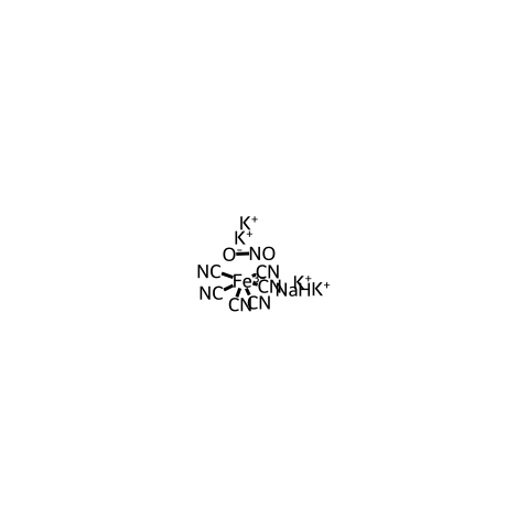 N#[C][Fe-3]([C]#N)([C]#N)([C]#N)([C]#N)[C]#N.O=N[O-].[K+].[K+].[K+].[K+].[NaH]